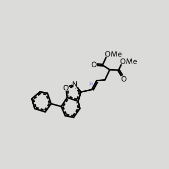 COC(=O)C(C/C=C/c1noc2c(-c3ccccc3)cccc12)C(=O)OC